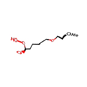 COCCOCCCCC(=O)OO